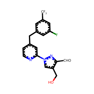 O=Cc1nn(-c2cc(Cc3cc(F)cc(C(F)(F)F)c3)ccn2)cc1CO